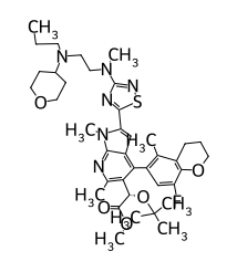 CCCN(CCN(C)c1nsc(-c2cc3c(-c4cc(F)c5c(c4C)CCCO5)c([C@H](OC(C)(C)C)C(=O)OC)c(C)nc3n2C)n1)C1CCOCC1